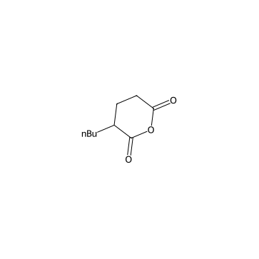 CCCCC1CCC(=O)OC1=O